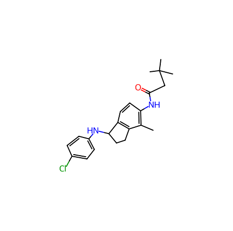 Cc1c(NC(=O)CC(C)(C)C)ccc2c1CCC2Nc1ccc(Cl)cc1